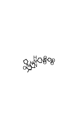 Cc1cc2cnc(NC3CCN(S(=O)(=O)C4CCS(=O)(=O)C4)CC3)nc2n([C@@H]2CCC[C@@H]2C)c1=O